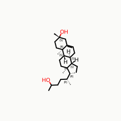 CC(O)CC[C@@H](C)[C@H]1CC[C@H]2[C@@H]3CC=C4C[C@@](C)(O)CC[C@]4(C)[C@H]3CC[C@]12C